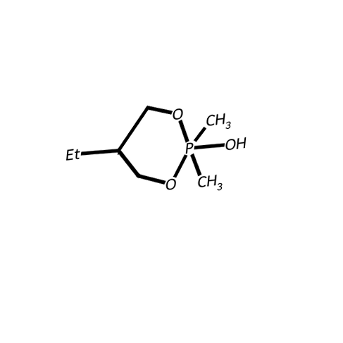 CC[C]1COP(C)(C)(O)OC1